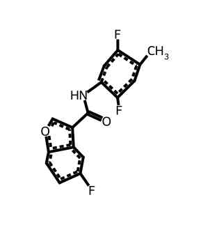 Cc1cc(F)c(NC(=O)c2coc3ccc(F)cc23)cc1F